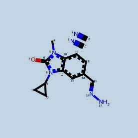 C#N.C#N.Cn1c(=O)n(C2CC2)c2cc(C=NN)ccc21